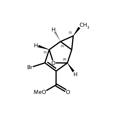 COC(=O)C1=C(Br)[C@H]2O[C@@H]1C1[C@@H]2[C@H]1C